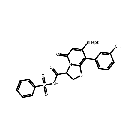 CCCCCCCc1cc(=O)n2c(c1-c1cccc(C(F)(F)F)c1)SCC2C(=O)NS(=O)(=O)c1ccccc1